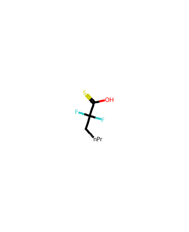 CCCCC(F)(F)C(O)=S